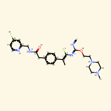 C=N/C(=N\C(F)=C(/C)c1ccc(CC(=O)NCc2cc(F)ccn2)cc1)OCCN1CCN(C)CC1